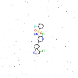 O=S(=O)(Nc1cc(-c2ccc3nccc(Cl)c3c2)cnc1Cl)c1ccccc1F